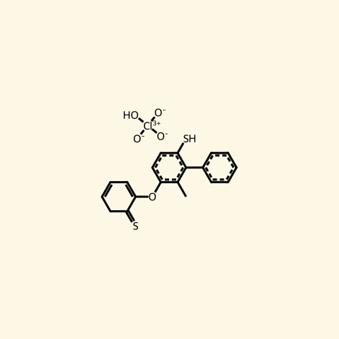 Cc1c(OC2=CC=CCC2=S)ccc(S)c1-c1ccccc1.[O-][Cl+3]([O-])([O-])O